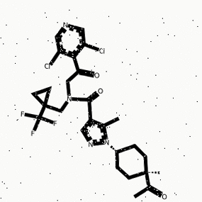 Cc1c(C(=O)N(CC(=O)c2c(Cl)cncc2Cl)CC2(C(F)(F)F)CC2)cnn1[C@H]1CC[C@](C)(C(C)=O)CC1